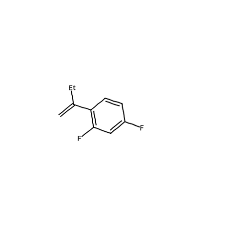 C=C(CC)c1ccc(F)cc1F